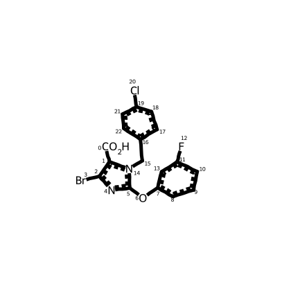 O=C(O)c1c(Br)nc(Oc2cccc(F)c2)n1Cc1ccc(Cl)cc1